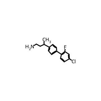 CC(CCN)c1ccc(-c2ccc(Cl)cc2F)cc1